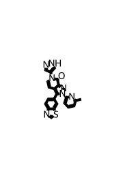 Cc1cccc(-n2nc3c(=O)n(-c4cn[nH]c4)ccc3c2-c2ccc3ncsc3c2)n1